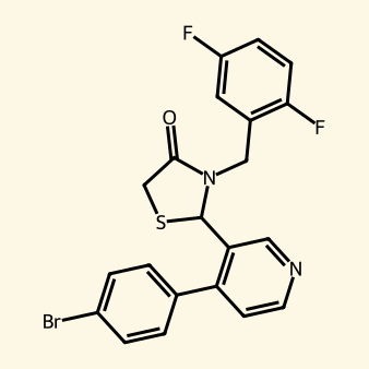 O=C1CSC(c2cnccc2-c2ccc(Br)cc2)N1Cc1cc(F)ccc1F